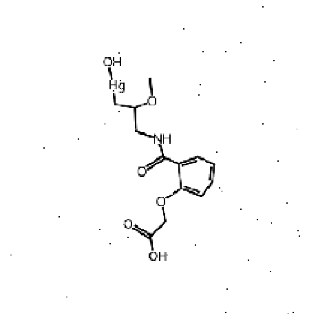 COC(CNC(=O)c1ccccc1OCC(=O)O)[CH2][Hg][OH]